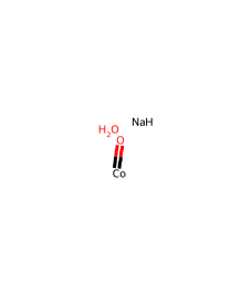 O.[NaH].[O]=[Co]